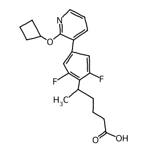 CC(CCCC(=O)O)c1c(F)cc(-c2cccnc2OC2CCC2)cc1F